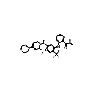 CNC(=O)c1ncccc1Nc1cc(Nc2ccc(N3CCOCC3)cc2OC)ncc1C(F)(F)F